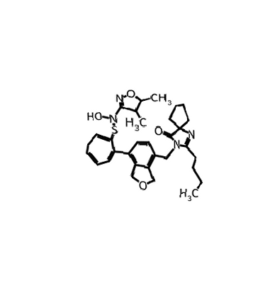 CCCCC1=NC2(CCCC2)C(=O)N1Cc1ccc(C2=CC=CCC=C2SN(O)C2=NOC(C)C2C)c2c1COC2